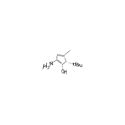 CC1=CC(N)=C(O)[C@H]1C(C)(C)C